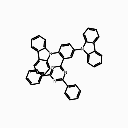 c1ccc(-c2nc(-c3ccccc3)nc(-c3cc(-n4c5ccccc5c5ccccc54)ccc3-n3c4ccccc4c4ccccc43)n2)cc1